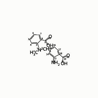 CN(C)c1ccccc1C(=O)O.Nc1ccccc1C(=O)O